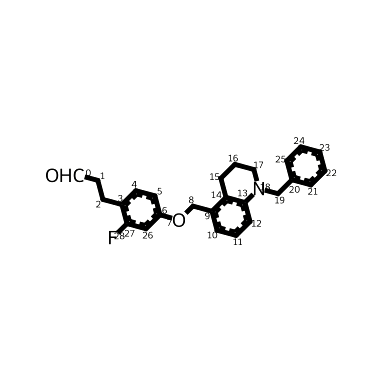 O=CCCc1ccc(OCc2cccc3c2CCCN3Cc2ccccc2)cc1F